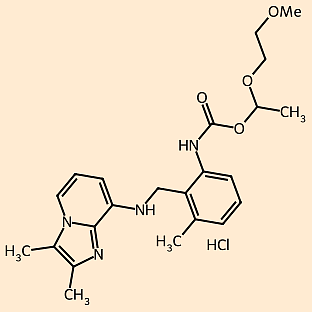 COCCOC(C)OC(=O)Nc1cccc(C)c1CNc1cccn2c(C)c(C)nc12.Cl